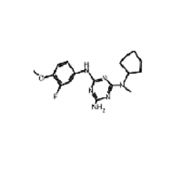 COc1ccc(Nc2nc(N)nc(N(C)C3CCCCC3)n2)cc1F